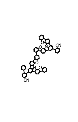 N#Cc1ccc(-c2ccccc2)c(-c2cc3c4ccc5c6ccccc6oc5c4n4c3c(c2)c2ccc3c5cc(-c6cccc7oc8c(ccc9c%10cc(-c%11ccccc%11C#N)cc%11c%12ccc%13c%14ccccc%14oc%13c%12n(c%11%10)c98)c67)ccc5oc3c24)c1